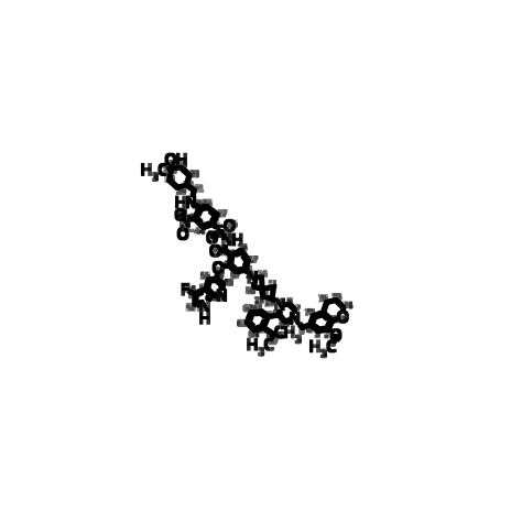 COc1cc(CN2CCN(C3CC4(C3)CN(c3ccc(C(=O)NS(=O)(=O)c5ccc(NCC6CCC(C)(O)CC6)c([N+](=O)[O-])c5)c(Oc5cnc6[nH]cc(F)c6c5)c3)C4)C(c3ccccc3C(C)C)C2)cc2c1OCCC2